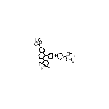 COC(=O)c1ccc2c(c1)CCC(c1ccc(F)c(F)c1F)=C2c1ccc(N2CCN(C(C)C)CC2)cc1